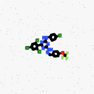 FC(F)(F)Oc1ccc(/C=N\Nc2nc(Nc3ccc(Cl)cc3)nc(-c3c(Cl)cc(Cl)cc3Cl)n2)cc1